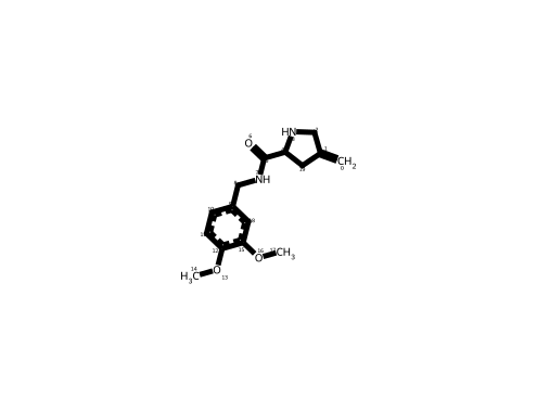 C=C1CNC(C(=O)NCc2ccc(OC)c(OC)c2)C1